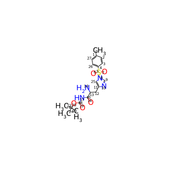 Cc1ccc(S(=O)(=O)n2cnc(C[C@H](N)C(=O)NC(=O)OC(C)(C)C)c2)cc1